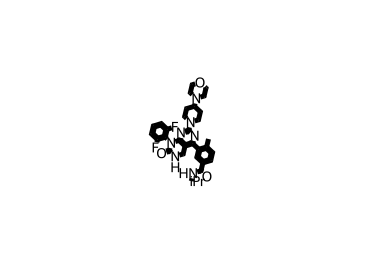 Cc1ccc(C(=O)NC(C)C)cc1-c1nc(N2CCC(N3CCOCC3)CC2)nc2c1CNC(=O)N2c1c(F)cccc1F